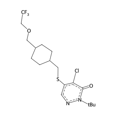 CC(C)(C)n1ncc(SCC2CCC(COCC(F)(F)F)CC2)c(Cl)c1=O